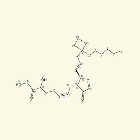 CCCCCCC1(C/C=C/[C@H]2C=CC(=O)[C@@H]2C/C=C\CCC(O)C(=O)CO)CCC1